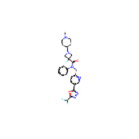 CN1CCC(N2CC(F)(C(=O)N(Cc3ccc(-c4nnc(C(F)F)o4)cn3)c3ccccc3)C2)CC1